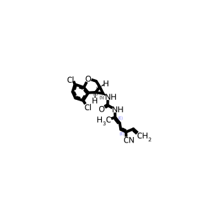 C=C/C(C#N)=C\C=C(/C)NC(=O)N[C@@H]1[C@@H]2COc3c(Cl)ccc(Cl)c3[C@@H]21